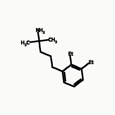 CCc1cccc(CCCC(C)(C)N)c1CC